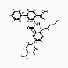 CCCCOc1ccc(N2CCN(CC)CC2)cc1C(=O)Nc1cc(-c2ccccc2)ccc1C(=O)O